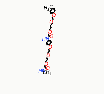 CNC(=O)COCCCOCCCOc1ccc(NC(=O)COCCCCOCCOc2ccc(C)cc2)cc1